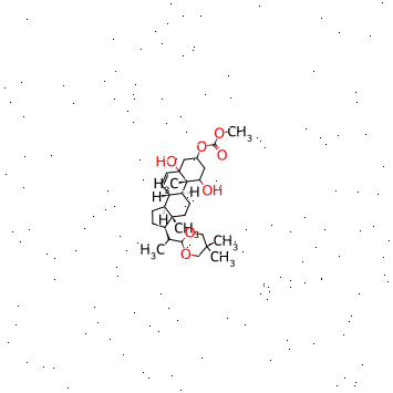 COC(=O)OC1CC(O)[C@]2(C)[C@H]3CC[C@]4(C)[C@@H](C(C)C5OCC(C)(C)CO5)CC[C@H]4[C@@H]3C=CC2(O)C1